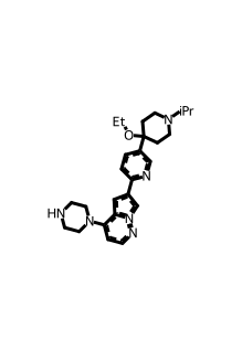 CCOC1(c2ccc(-c3cc4c(N5CCNCC5)ccnn4c3)nc2)CCN(C(C)C)CC1